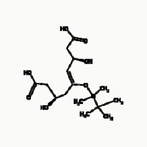 CC(C)(C)[Si](C)(C)O/C(=C\[C@H](O)CC(=O)O)C[C@@H](O)CC(=O)O